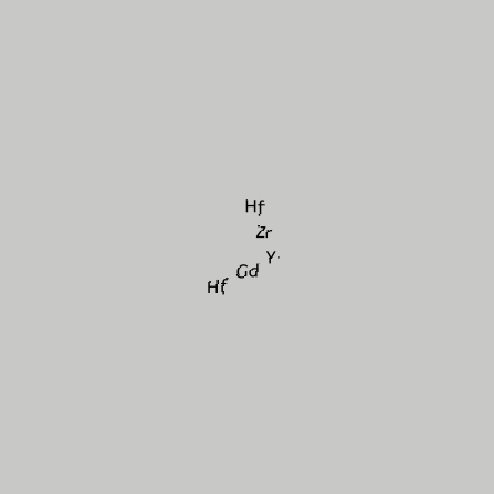 [Gd].[Hf].[Hf].[Y].[Zr]